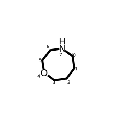 [CH]1CCCOCCN1